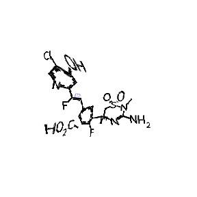 CC(=O)O.CN1C(N)=N[C@](C)(c2cc(/C=C(\F)c3cc(O)c(Cl)cn3)ccc2F)CS1(=O)=O